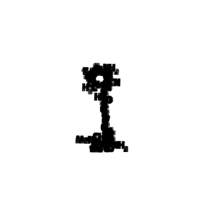 CN[C@@H](C)C(=O)N[C@H](C(=O)N1Cc2cc(OCCOCCOCCC(=O)NCCn3nc(C#N)c4c3CN(C)C(=O)c3ccc(F)cc3[C@H]3CCCN3c3cc-4cnc3N)ccc2C[C@H]1C(N)=O)C(C)(C)C